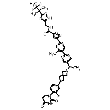 Cc1nc(-c2cc(C(=O)NCc3nc(C(C)(C)C(C)(F)F)n[nH]3)on2)ncc1-c1ncc(C(C)N2CC3(CC(c4ccc(N5CCC(=O)NC5=O)c(F)c4)C3)C2)cn1